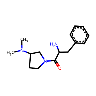 CN(C)C1CCN(C(=O)C(N)Cc2ccccc2)C1